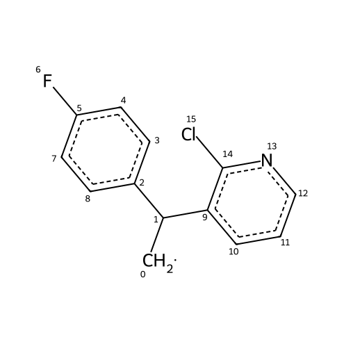 [CH2]C(c1ccc(F)cc1)c1cccnc1Cl